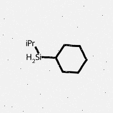 CC(C)[SiH2]C1CCCCC1